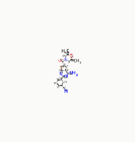 C[C@@H]1CN(C(=O)c2cc3c(N)nc(-c4cccc(C#N)c4)nc3s2)C[C@H](C)O1